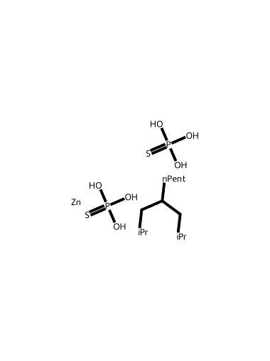 CCCCCC(CC(C)C)CC(C)C.OP(O)(O)=S.OP(O)(O)=S.[Zn]